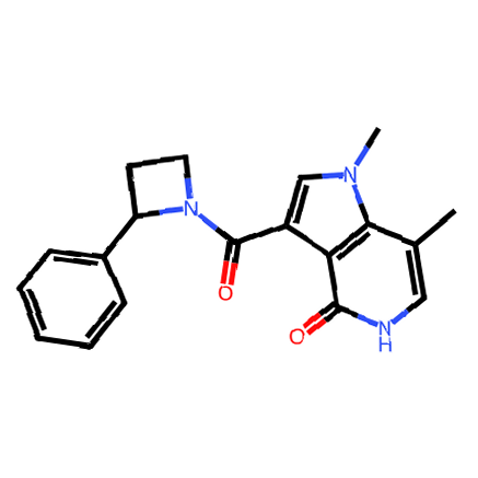 Cc1c[nH]c(=O)c2c(C(=O)N3CCC3c3ccccc3)cn(C)c12